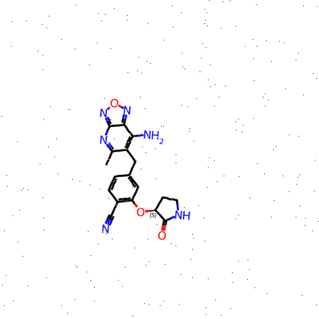 Cc1nc2nonc2c(N)c1Cc1ccc(C#N)c(O[C@H]2CCNC2=O)c1